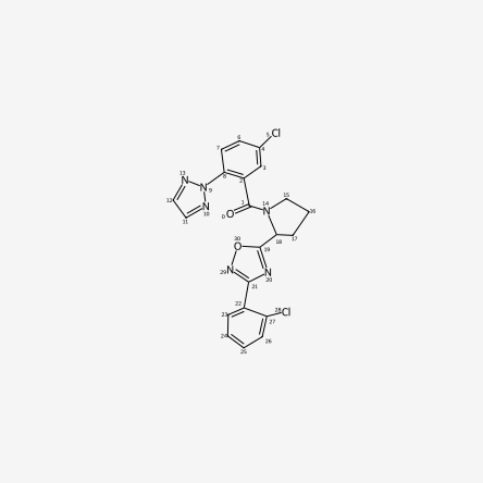 O=C(c1cc(Cl)ccc1-n1nccn1)N1CCCC1c1nc(-c2ccccc2Cl)no1